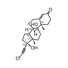 C[C@]12CCC(=O)C=C1CC[C@H]1[C@@H]3CC[C@@](O)(C#CCl)[C@@]3(C)CC[C@@]12O